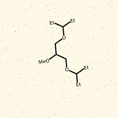 CCC(CC)OCC(COC(CC)CC)OC